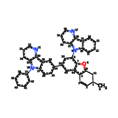 CC1C=Cc2c(oc3c(-n4c5ccccc5c5ncccc54)cc(-c4ccc5c(c4)c4ncccc4n5-c4ccccc4)cc23)C1